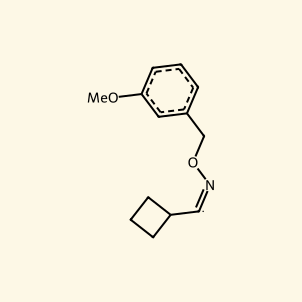 COc1cccc(CO/N=[C]\C2CCC2)c1